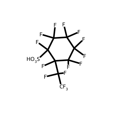 O=S(=O)(O)C1(F)C(F)(F)C(F)(F)C(F)(F)C(F)(F)C1(F)C(F)(F)C(F)(F)F